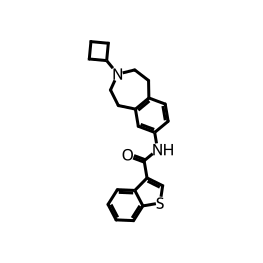 O=C(Nc1ccc2c(c1)CCN(C1CCC1)CC2)c1csc2ccccc12